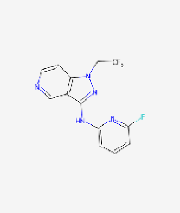 Fc1cccc(Nc2nn(CC(F)(F)F)c3ccncc23)n1